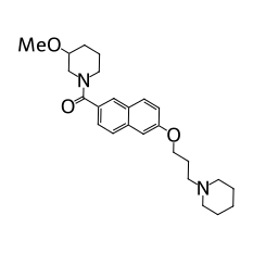 COC1CCCN(C(=O)c2ccc3cc(OCCCN4CCCCC4)ccc3c2)C1